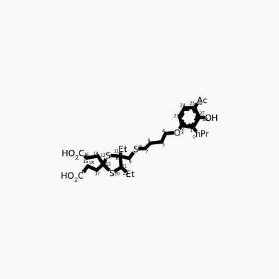 CCCc1c(OCCCCSCC2(CC)SC(CCC(=O)O)(CCC(=O)O)SC2CC)ccc(C(C)=O)c1O